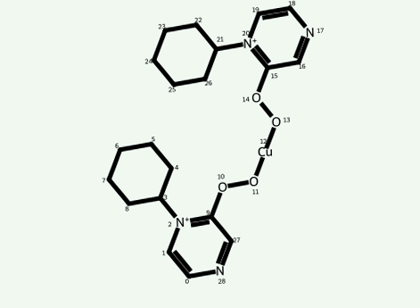 c1c[n+](C2CCCCC2)c(O[O][Cu][O]Oc2cncc[n+]2C2CCCCC2)cn1